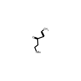 CC=CC(=O)CCCCCC